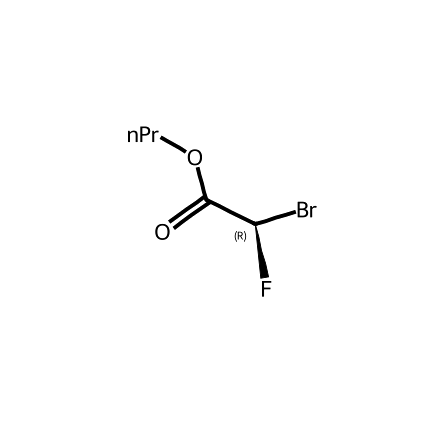 CCCOC(=O)[C@H](F)Br